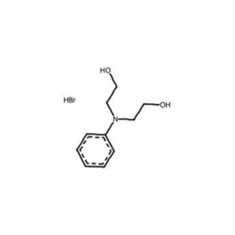 Br.OCCN(CCO)c1ccccc1